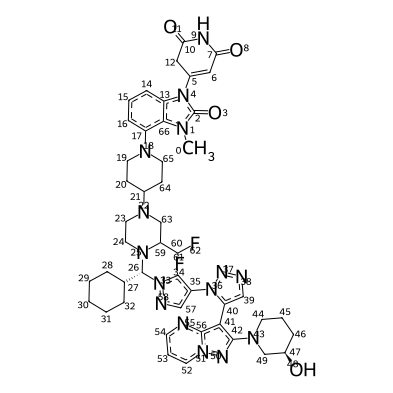 Cn1c(=O)n(C2=CC(=O)NC(=O)C2)c2cccc(N3CCC(N4CCN([C@@H](C5CCCCC5)n5cc(-n6nncc6-c6c(N7CCC[C@@H](O)C7)nn7cccnc67)cn5)C(C(F)F)C4)CC3)c21